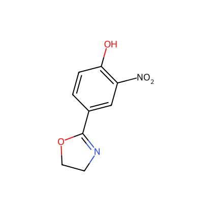 O=[N+]([O-])c1cc(C2=NCCO2)ccc1O